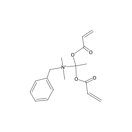 C=CC(=O)OC(C)(OC(=O)C=C)[N+](C)(C)Cc1ccccc1